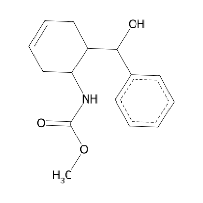 COC(=O)NC1CC=CCC1C(O)c1ccccc1